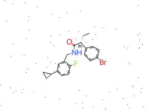 CC[C@@H](C(=O)NCc1cc(C2CC2)ccc1F)c1ccc(Br)cc1